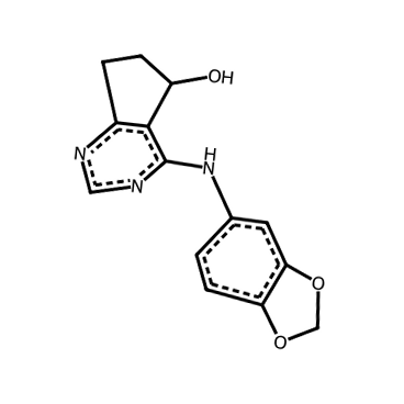 OC1CCc2ncnc(Nc3ccc4c(c3)OCO4)c21